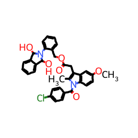 COc1ccc2c(c1)c(CC(=O)OCc1ccccc1N1C(O)c3ccccc3C1O)c(C)n2C(=O)c1ccc(Cl)cc1